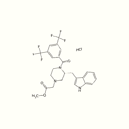 COC(=O)CN1CCN(C(=O)c2cc(C(F)(F)F)cc(C(F)(F)F)c2)[C@H](Cc2c[nH]c3ccccc23)C1.Cl